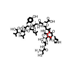 CC(C)C[C@H](NC(=O)[C@H](C)NC(=O)[C@H](CCC(=O)O)NC(=O)[C@@H](NC(=O)[C@H](CC(C)C)NC(=O)[C@H](Cc1c[nH]cn1)NC(=O)[C@H](CO)NC(=O)CNC(=O)[C@@H](N)CS)C(C)C)C(=O)N[C@@H](Cc1ccc(O)cc1)C(=O)N[C@@H](CC(C)C)C(=O)N[C@H](C(=O)O)C(C)C